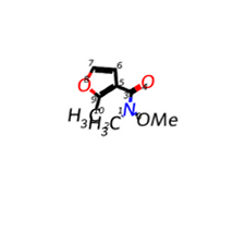 CON(C)C(=O)c1ccoc1C